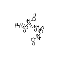 CCNC(=O)Cn1nc(-c2nnc(-c3cccc(Cl)c3)s2)c(C2CC(NC(=O)Cn3nc(-c4nnc(-c5cccc(Cl)c5)s4)ccc3=O)C2)cc1=O